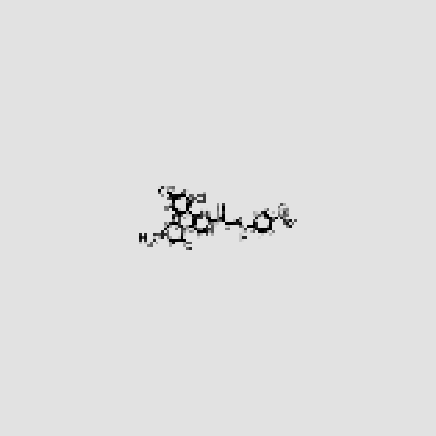 CN1CC(=O)N(c2cnc(NCCNc3ccc([N+](=O)[O-])cn3)nc2-c2ccc(Cl)cc2Cl)C(=O)C1